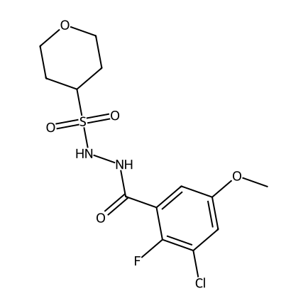 COc1cc(Cl)c(F)c(C(=O)NNS(=O)(=O)C2CCOCC2)c1